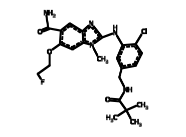 Cn1c(Nc2cc(CNC(=O)C(C)(C)C)ccc2Cl)nc2cc(C(N)=O)c(OCCF)cc21